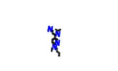 C=CCCN(CC)c1ccc(/C(=C/C=N\C)N=C(C)C)cn1